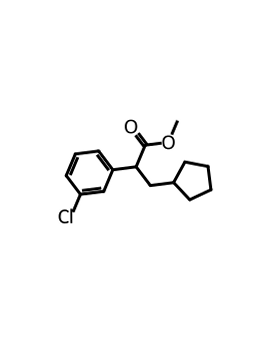 COC(=O)C(CC1CCCC1)c1cccc(Cl)c1